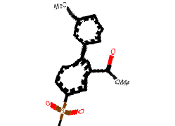 COC(=O)c1cc(S(C)(=O)=O)ccc1-c1cccc(OC)c1